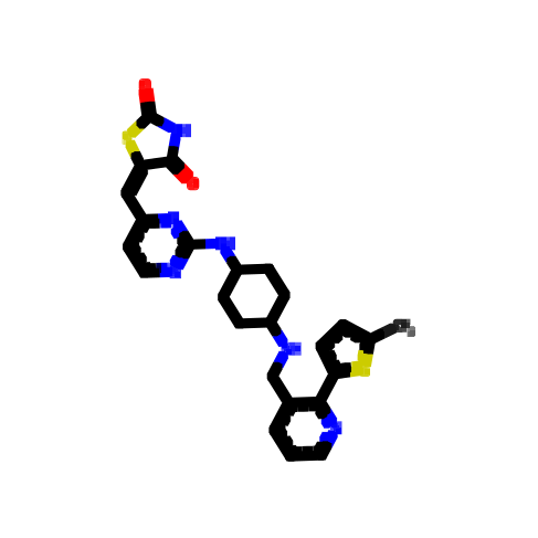 O=C1NC(=O)/C(=C\c2ccnc(NC3CCC(NCc4cccnc4-c4ccc(C(F)(F)F)s4)CC3)n2)S1